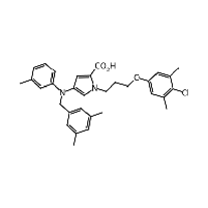 Cc1cc(C)cc(CN(c2cccc(C)c2)c2cc(C(=O)O)n(CCCOc3cc(C)c(Cl)c(C)c3)c2)c1